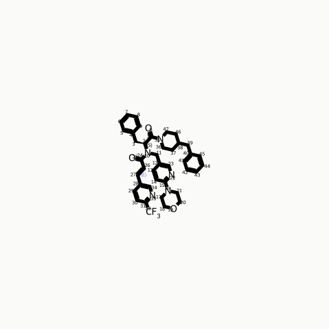 O=C([C@H](Cc1ccccc1)N(Cc1ccc(N2CCOCC2)nc1)C(=O)/C=C/c1ccc(C(F)(F)F)nc1)N1CCC(Cc2ccccc2)CC1